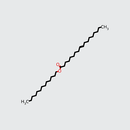 CCCCCCCC/C=C/CCCCCCCC(=O)OCCCCCCCCCCCCC